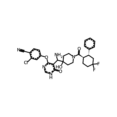 N#Cc1ccc(Oc2nc[nH]c(=O)c2C(N)C2(O)CCN(C(=O)[C@@H]3CCC(F)(F)C[C@H]3c3ccccc3)CC2)cc1Cl